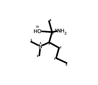 CCCC(N(C)C)C(C)(N)O